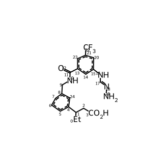 CCC(CC(=O)O)c1cccc(CNC(=O)c2cc(NC=NN)cc(C(F)(F)F)c2)c1